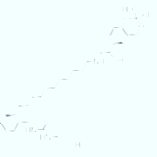 CC1(C)OCc2cc([C@@H](O)CNCCCCCCOCCCCc3ccccc3CNC(=O)NCC(=O)O)ccc2O1